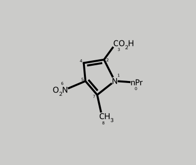 CCCn1c(C(=O)O)cc([N+](=O)[O-])c1C